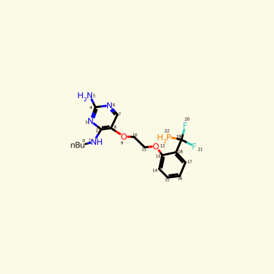 CCCCNc1nc(N)ncc1OCCOc1ccccc1C(F)(F)P